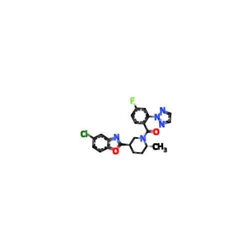 C[C@@H]1CC[C@@H](c2nc3cc(Cl)ccc3o2)CN1C(=O)c1ccc(F)cc1-n1nccn1